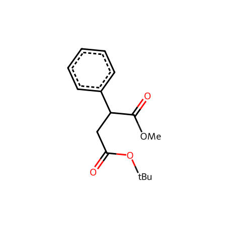 COC(=O)C(CC(=O)OC(C)(C)C)c1ccccc1